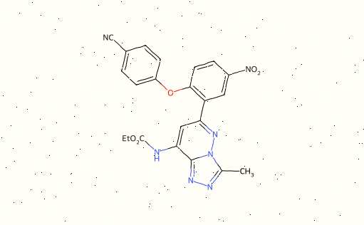 CCOC(=O)Nc1cc(-c2cc([N+](=O)[O-])ccc2Oc2ccc(C#N)cc2)nn2c(C)nnc12